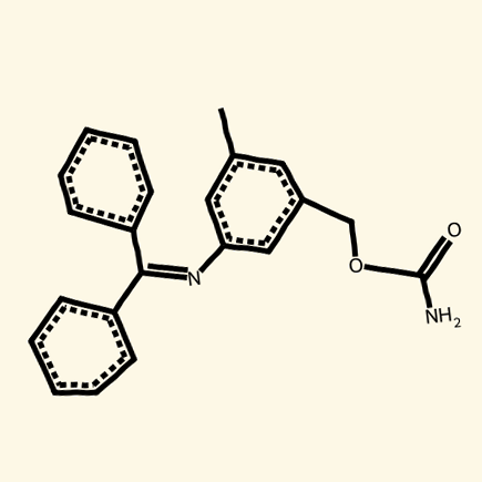 Cc1cc(COC(N)=O)cc(N=C(c2ccccc2)c2ccccc2)c1